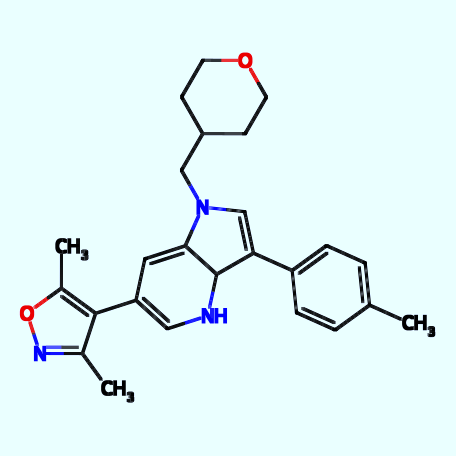 Cc1ccc(C2=CN(CC3CCOCC3)C3=CC(c4c(C)noc4C)=CNC23)cc1